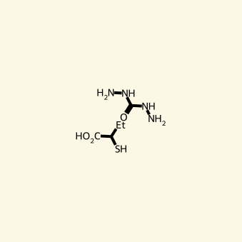 CCC(S)C(=O)O.NNC(=O)NN